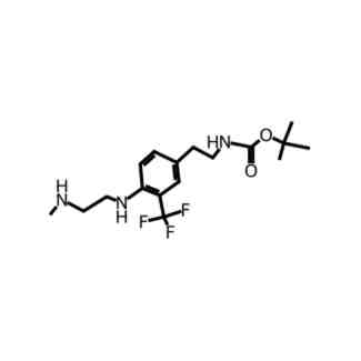 CNCCNc1ccc(CCNC(=O)OC(C)(C)C)cc1C(F)(F)F